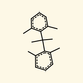 Cc1c[c]cc(C)c1C(C)(C)c1c(C)c[c]cc1C